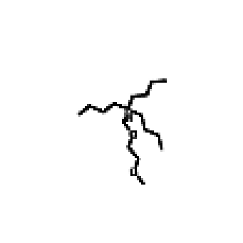 CCCC[PH](CCCC)(CCCC)COCCOC